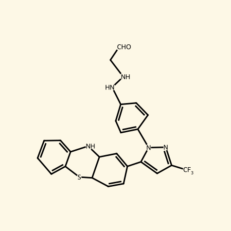 O=CCNNc1ccc(-n2nc(C(F)(F)F)cc2C2=CC3Nc4ccccc4SC3C=C2)cc1